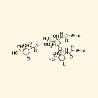 CCCCCNC(=O)Nc1cc(Cl)cc(C(C)O)c1O.CCCCCNC(=O)Nc1cc(Cl)cc(C(C)O)c1O.CCOC(=O)CCNC(=O)Nc1cc(Cl)cc(C(C)O)c1O